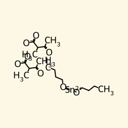 CC(=O)C(C)C(=O)[O-].CC(=O)C(C)C(=O)[O-].CCCC[O][Sn+2][O]CCCC